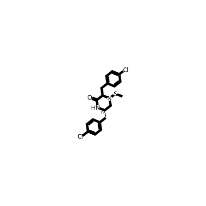 CSN1C[C@H](Cc2ccc(Cl)cc2)NC(=O)C1Cc1ccc(Cl)cc1